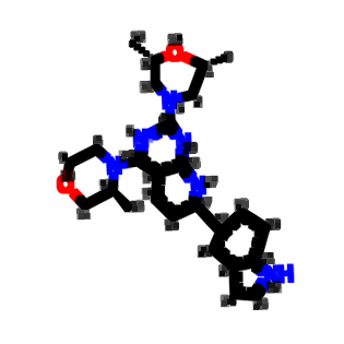 C[C@@H]1CN(c2nc(N3CCOC[C@@H]3C)c3ccc(-c4ccc5[nH]ccc5c4)nc3n2)C[C@H](C)O1